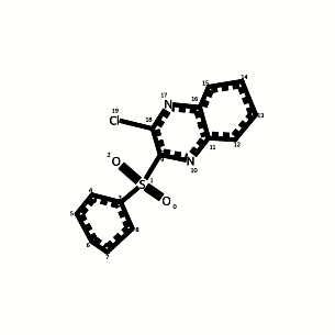 O=S(=O)(c1ccccc1)c1nc2ccccc2nc1Cl